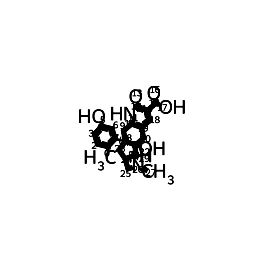 Cc1ccc(O)cc1[C@@]12Cc3[nH]c(=O)c(C(=O)O)cc3C[C@@]1(O)[C@H]1C(CN1C)C2